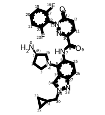 N[C@@H]1CCN(c2c(NC(=O)c3ccc(=O)n(-c4c(F)cccc4F)n3)ccc3nn(CC4CC4)cc23)C1